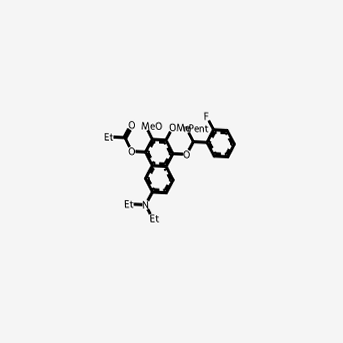 CCCCCC(Oc1c(OC)c(OC)c(OC(=O)CC)c2cc(N(CC)CC)ccc12)c1ccccc1F